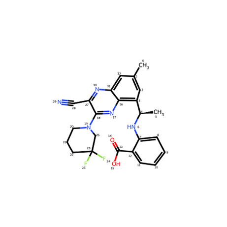 Cc1cc([C@@H](C)Nc2ccccc2C(=O)O)c2nc(N3CCCC(F)(F)C3)c(C#N)nc2c1